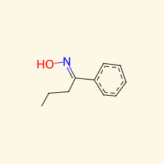 CCC/C(=N\O)c1ccccc1